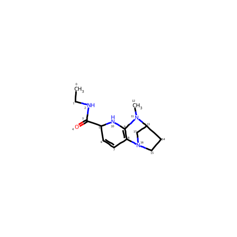 CCNC(=O)C1C=CC2=C(N1)N(C)C1CCN2C1